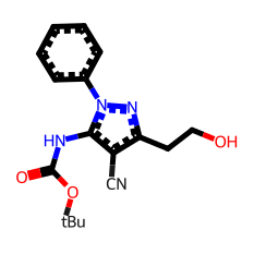 CC(C)(C)OC(=O)Nc1c(C#N)c(CCO)nn1-c1ccccc1